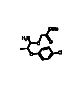 COC(=O)COC(N)[C@H](C)Oc1ccc(Cl)cc1